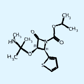 CNC(C)(C)O[C@H]1C(=O)N(C(=O)OC(C)C)[C@H]1c1cccs1